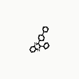 [c]1ccc(-c2ccc(-c3nc4ccccc4nc3-c3ccccc3)cc2)cc1